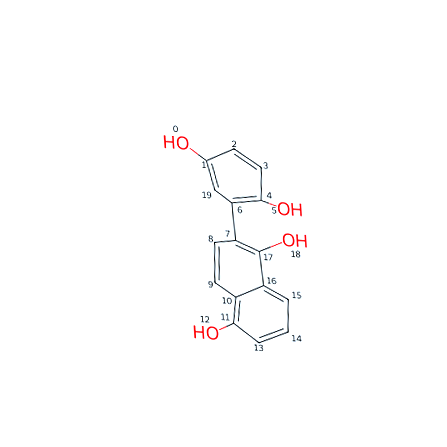 Oc1ccc(O)c(-c2ccc3c(O)cccc3c2O)c1